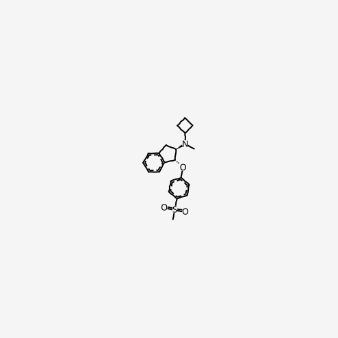 CN(C1CCC1)[C@@H]1Cc2ccccc2[C@H]1Oc1ccc(S(C)(=O)=O)cc1